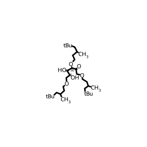 CC(CCOCC(=O)[C@H](OCCC(C)CC(C)(C)C)[C@@H](O)[C@H](O)COCCC(C)CC(C)(C)C)CC(C)(C)C